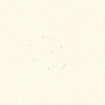 COC(=O)[C@@H]1C[C@@H](OC)CN1C1(c2ccccc2OC)C(=O)N(S(=O)(=O)c2ccc(OC)cc2OC)c2cc(C)c(Cl)cc21